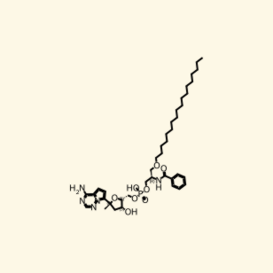 CCCCCCCCCCCCCCCCCCOC[C@H](COP(=O)(O)OC[C@H]1O[C@@](C)(c2ccc3c(N)ncnn23)C[C@@H]1O)NC(=O)c1ccccc1